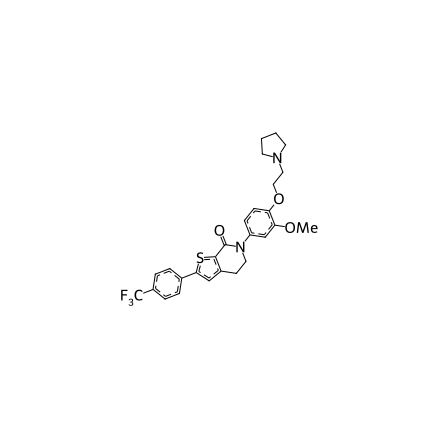 COc1cc(N2CCc3cc(-c4ccc(C(F)(F)F)cc4)sc3C2=O)ccc1OCCN1CCCC1